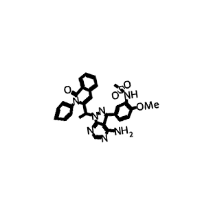 COc1ccc(-c2nn(C(C)c3cc4ccccc4c(=O)n3-c3ccccc3)c3ncnc(N)c23)cc1NS(C)(=O)=O